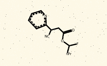 CCCC(F)OC(=O)CC(C#N)c1ccccn1